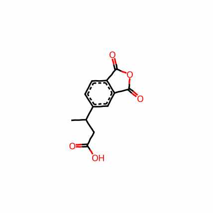 CC(CC(=O)O)c1ccc2c(c1)C(=O)OC2=O